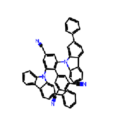 N#Cc1cc(C#N)cc(-c2c(-n3c4ccccc4c4ccc(-c5ccccc5)cc43)cc(C#N)cc2-n2c3ccccc3c3ccc(-c4ccccc4)cc32)c1